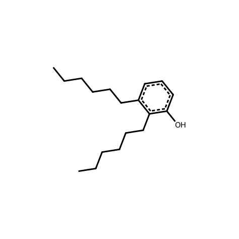 CCCCCCc1cccc(O)c1CCCCCC